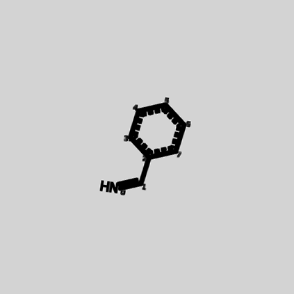 N=Cc1[c]cccc1